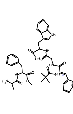 CC(C)(C)C(=O)N/C(=C\c1ccccc1)C(=O)NCC(=O)NC(Cc1c[nH]c2ccccc12)C(=O)O.COC(=O)C(Cc1ccccc1)NC(=O)C(C)N